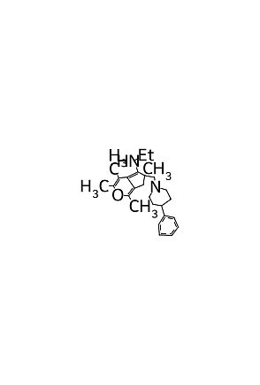 CCNC1=C2C(C)=C(C)OC(C)=C2CC1(C)CN1CCC(c2ccccc2)CC1